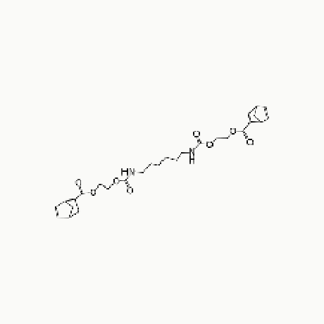 O=C(NCCCCCCNC(=O)OCCOC(=O)C1CC2C=CC1C2)OCCOC(=O)C1CC2C=CC1C2